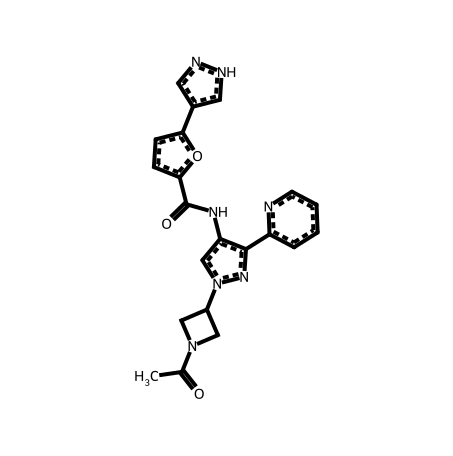 CC(=O)N1CC(n2cc(NC(=O)c3ccc(-c4cn[nH]c4)o3)c(-c3ccccn3)n2)C1